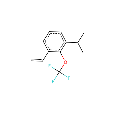 C=Cc1cccc(C(C)C)c1OC(F)(F)F